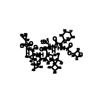 CC(C)(C)[C@H](NC(=O)[C@@H](NC(=O)OC1COC1)C1CCCCC1)C(=O)N1C[C@]2(C[C@H]1C(=O)N[C@]1(C(=O)NS(=O)(=O)C3CC3)C[C@H]1C1CC1)C(C)(C)C21CCC1